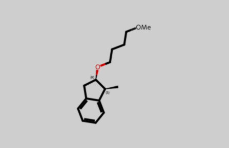 COCCCCO[C@@H]1Cc2ccccc2[C@@H]1C